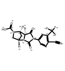 N#Cc1ccc(N2C(=O)[C@@H]3[C@H]4C[C@@H](CN4C(=O)O)N3C2=O)cc1C(F)(F)F